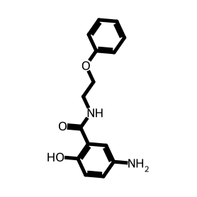 Nc1ccc(O)c(C(=O)NCCOc2ccccc2)c1